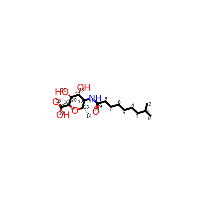 CC(C)CCCCCCC(=O)NC1[C@H](C)OC(C(=O)O)[C@@H](O)[C@@H]1O